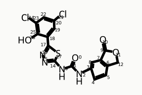 O=C(Nc1ccc2c(c1)C(=O)OC2)Nc1nnc(-c2cc(Cl)cc(Cl)c2O)s1